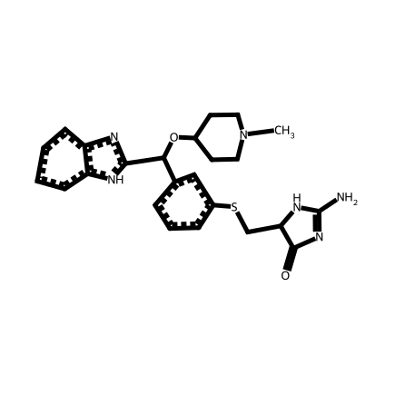 CN1CCC(OC(c2cccc(SCC3NC(N)=NC3=O)c2)c2nc3ccccc3[nH]2)CC1